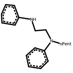 CCCCCN(CCNc1ccccc1)c1ccccc1